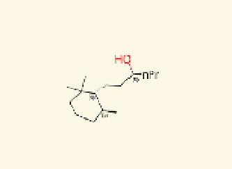 CCC[C@H](O)CC[C@@H]1[C@@H](C)CCCC1(C)C